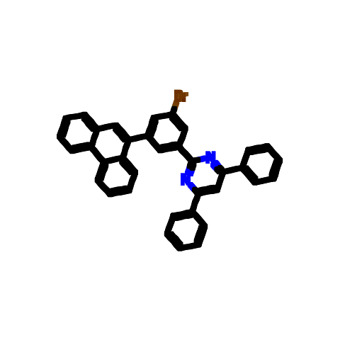 Brc1cc(-c2nc(-c3ccccc3)cc(-c3ccccc3)n2)cc(-c2cc3ccccc3c3ccccc23)c1